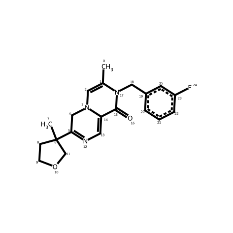 CC1=CN2CC(C3(C)CCOC3)=NC=C2C(=O)N1Cc1cccc(F)c1